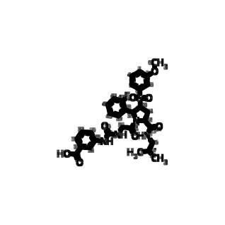 COc1cccc(S(=O)(=O)C2CC(C(=O)NCC(C)C)N(C(=O)CNC(=O)Nc3cccc(C(=O)O)c3)C2c2ccccc2F)c1